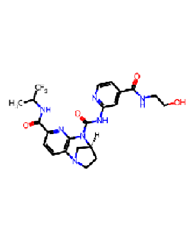 CC(NC(=O)c1ccc2c(n1)N(C(=O)Nc1cc(C(=O)NCCO)ccn1)[C@H]1CCN2C1)C(F)(F)F